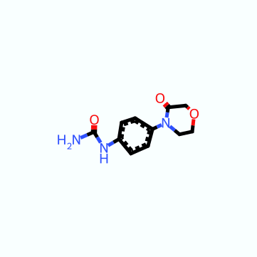 NC(=O)Nc1ccc(N2CCOCC2=O)cc1